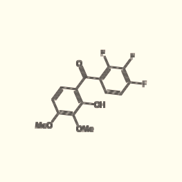 COc1ccc(C(=O)c2ccc(F)c(F)c2F)c(O)c1OC